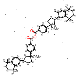 COC1(c2ccc(C(=O)OC(=O)c3ccc(C4(OC)CCC(c5cc6c(cc5C)C(C)(C)CCC6(C)C)C4)cc3)cc2)CCC(c2ccc3c(c2)C(C)(C)CCC3(C)C)C1